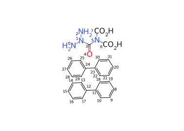 NN(N)C(=O)N(C(=O)O)C(=O)O.c1ccc(-c2ccccc2)cc1.c1ccc(-c2ccccc2)cc1